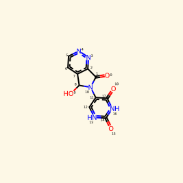 O=C1c2nnccc2C(O)N1c1c[nH]c(=O)[nH]c1=O